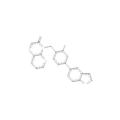 O=c1cnc2cccnc2n1Cc1ccc(-c2ccc3occc3c2)cc1F